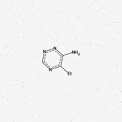 CCc1ncnnc1N